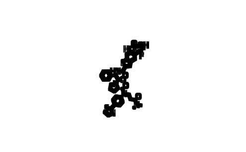 CN(C)C(=O)CCN(C(=O)[C@@H]1CCCN1C(=O)C(NC(=O)c1cc2cc(C(F)(F)P(=O)(O)O)ccc2s1)c1ccccc1)c1ccc(-c2nccs2)cc1